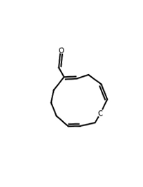 O=C/C1=C\C/C=C\CC/C=C\CCC1